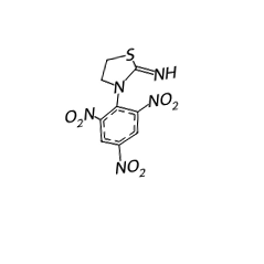 N=C1SCCN1c1c([N+](=O)[O-])cc([N+](=O)[O-])cc1[N+](=O)[O-]